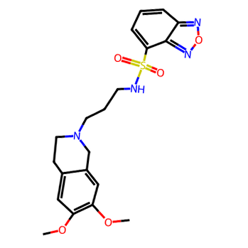 COc1cc2c(cc1OC)CN(CCCNS(=O)(=O)c1cccc3nonc13)CC2